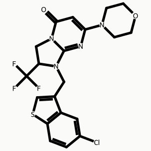 O=c1cc(N2CCOCC2)nc2n1CC(C(F)(F)F)N2Cc1csc2ccc(Cl)cc12